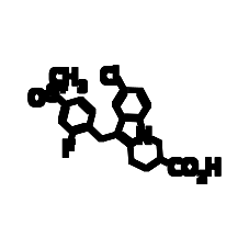 C[S+]([O-])c1ccc(Cc2c3n(c4ccc(Cl)cc24)CC(C(=O)O)CC3)c(F)c1